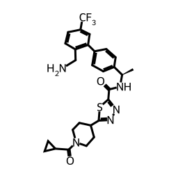 C[C@@H](NC(=O)c1nnc(C2CCN(C(=O)C3CC3)CC2)s1)c1ccc(-c2cc(C(F)(F)F)ccc2CN)cc1